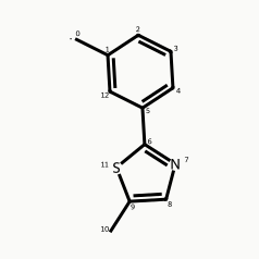 [CH2]c1cccc(-c2ncc(C)s2)c1